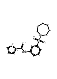 O=C(Nc1cccc(S(=O)(=O)N2CCCCCC2)c1)c1ccco1